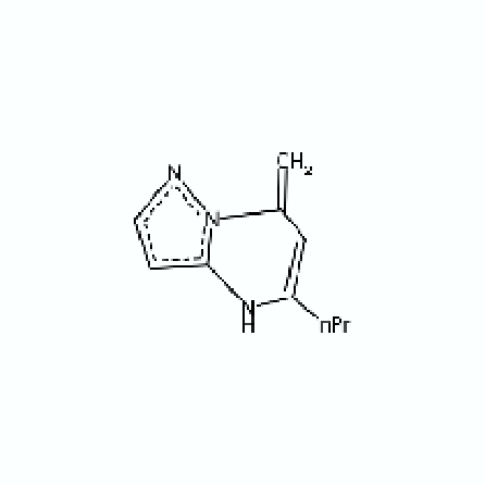 C=C1C=C(CCC)Nc2ccnn21